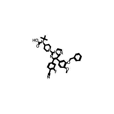 COc1ccc(-c2c(-c3ccc(C#N)c(F)c3)nc(N3CCC(N(C(=O)O)C(C)(C)C)CC3)n3ccnc23)cc1OCc1ccccc1